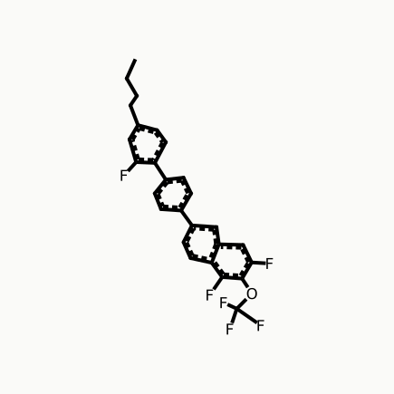 CCCCc1ccc(-c2ccc(-c3ccc4c(F)c(OC(F)(F)F)c(F)cc4c3)cc2)c(F)c1